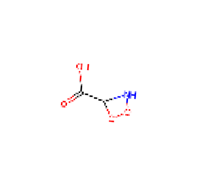 O=C(O)C1NOO1